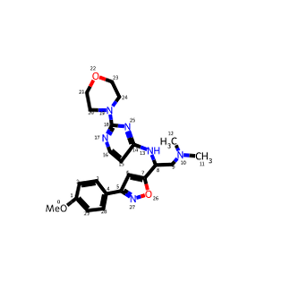 COc1ccc(-c2cc(C(CN(C)C)Nc3ccnc(N4CCOCC4)n3)on2)cc1